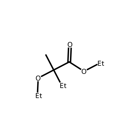 CCOC(=O)C(C)(CC)OCC